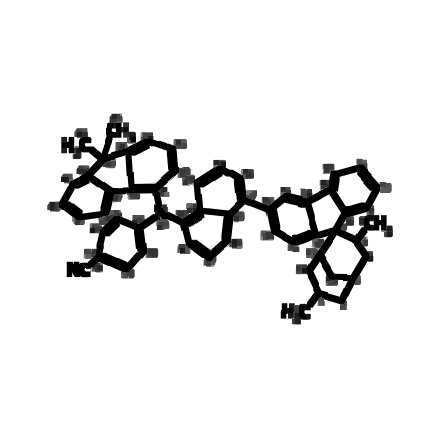 CC1CC2CC(C)C3(c4ccccc4-c4cc(-c5cccc6c(N(c7ccc(C#N)cc7)c7cccc8c7-c7ccccc7C8(C)C)cccc56)ccc43)C(C1)C2